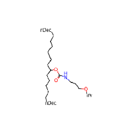 CCCCCCCCCCCCCCCCC(CCCCCCCCCCCCCCC)OC(=O)NCCCOC(C)C